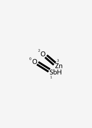 [O]=[SbH].[O]=[Zn]